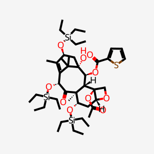 CC[Si](CC)(CC)O[C@H]1C(=O)[C@]2(C)[C@@H](O[Si](CC)(CC)CC)C[C@H]3OC[C@@]3(OC(C)=O)[C@H]2[C@H](OC(=O)c2cccs2)[C@]2(O)C[C@H](O[Si](CC)(CC)CC)C(C)=C1C2(C)C